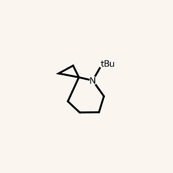 CC(C)(C)N1CCCCC12CC2